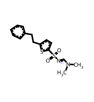 CN(C)/C=N/S(=O)(=O)c1ccc(CCc2ccccc2)s1